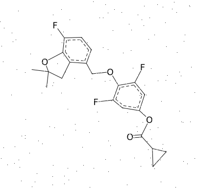 CC1(C)Cc2c(COc3c(F)cc(OC(=O)C4CC4)cc3F)ccc(F)c2O1